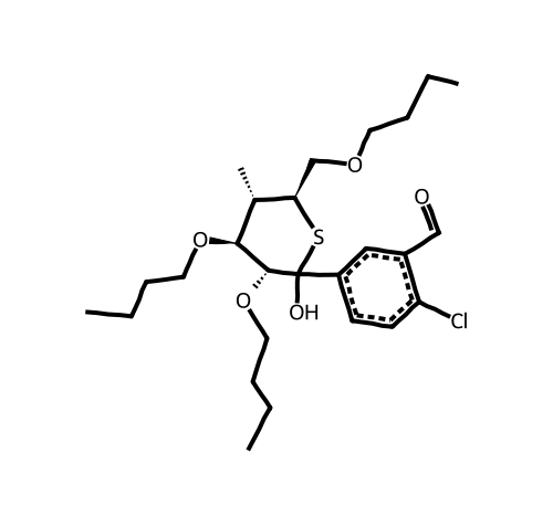 CCCCOC[C@H]1SC(O)(c2ccc(Cl)c(C=O)c2)[C@H](OCCCC)[C@@H](OCCCC)[C@@H]1C